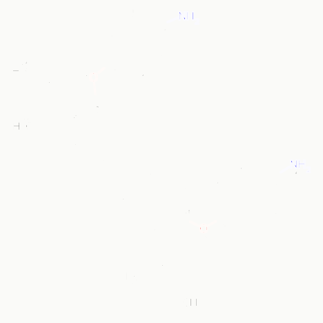 CCC(C)c1cc(Cc2ccc(Oc3ccc(N)cc3)c(C(C)CC)c2)ccc1Oc1ccc(N)cc1